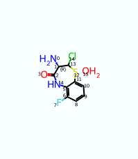 N[C@@H]1C(=O)Nc2c(F)cccc2SC1Cl.O